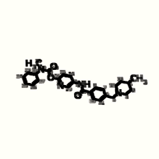 CC1CCN(Cc2ccc(C(=O)Nc3ccc(OC(=O)N(C)c4ccccc4)nc3)cc2)CC1